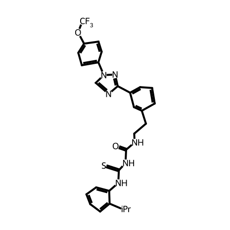 CC(C)c1ccccc1NC(=S)NC(=O)NCCc1cccc(-c2ncn(-c3ccc(OC(F)(F)F)cc3)n2)c1